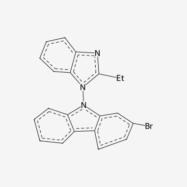 CCc1nc2ccccc2n1-n1c2ccccc2c2ccc(Br)cc21